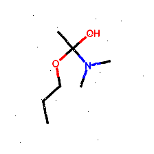 CCCOC(C)(O)N(C)C